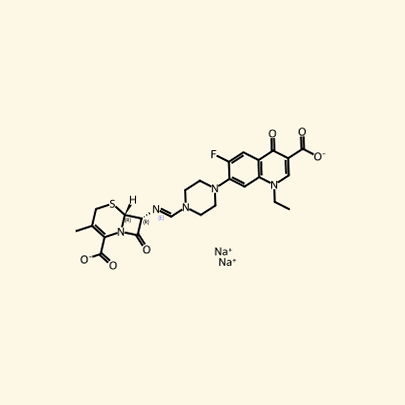 CCn1cc(C(=O)[O-])c(=O)c2cc(F)c(N3CCN(/C=N/[C@@H]4C(=O)N5C(C(=O)[O-])=C(C)CS[C@H]45)CC3)cc21.[Na+].[Na+]